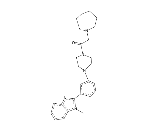 Cn1c(-c2cccc(N3CCN(C(=O)CN4CCCCCC4)CC3)c2)nc2ccccc21